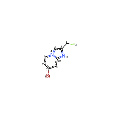 FCc1cn2ccc(Br)cc2n1